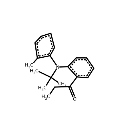 CCC(=O)c1ccccc1N(c1ccccc1C)C(C)(C)C